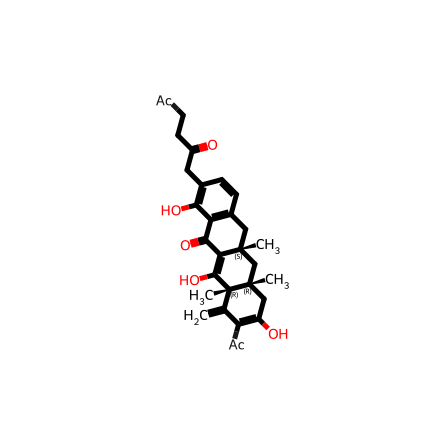 C=C1C(C(C)=O)=C(O)C[C@@]2(C)C[C@@]3(C)Cc4ccc(CC(=O)CCC(C)=O)c(O)c4C(=O)C3=C(O)[C@@]12C